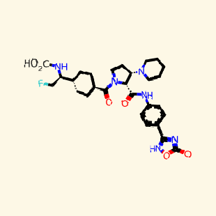 O=C(O)N[C@H](CF)[C@H]1CC[C@H](C(=O)N2CC[C@H](N3CCCCC3)[C@@H]2C(=O)Nc2ccc(-c3nc(=O)o[nH]3)cc2)CC1